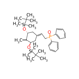 C=C1[C@H](O[Si](C)(C)C(C)(C)C)CC(=CCP(=O)(c2ccccc2)c2ccccc2)C[C@H]1O[Si](C)(C)C(C)(C)C